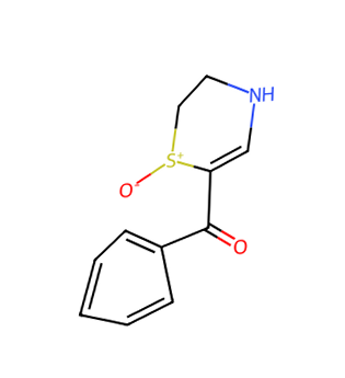 O=C(C1=CNCC[S+]1[O-])c1ccccc1